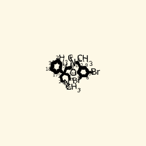 CC(c1cc(Br)cc(Br)c1)N(C)C(=O)CC1(c2ccccc2)CCN(C)CC1